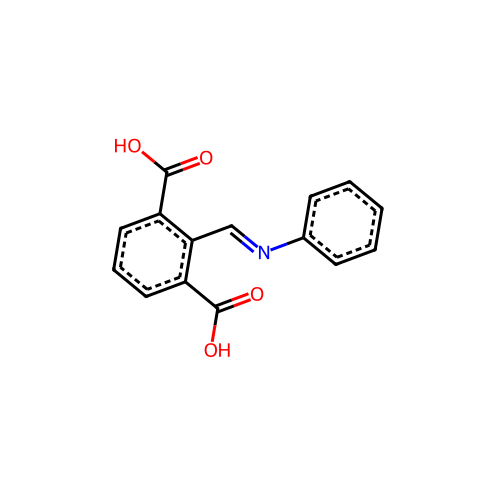 O=C(O)c1cccc(C(=O)O)c1C=Nc1ccccc1